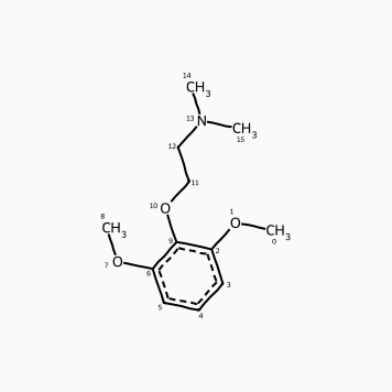 COc1cccc(OC)c1OCCN(C)C